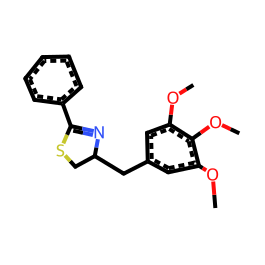 COc1cc(CC2CSC(c3ccccc3)=N2)cc(OC)c1OC